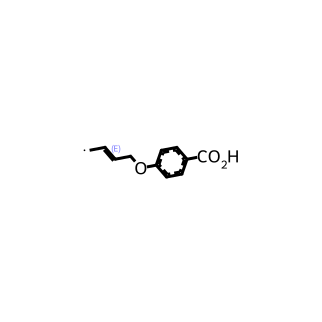 [CH2]/C=C/COc1ccc(C(=O)O)cc1